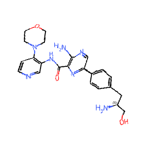 Nc1ncc(-c2ccc(C[C@H](N)CO)cc2)nc1C(=O)Nc1cnccc1N1CCOCC1